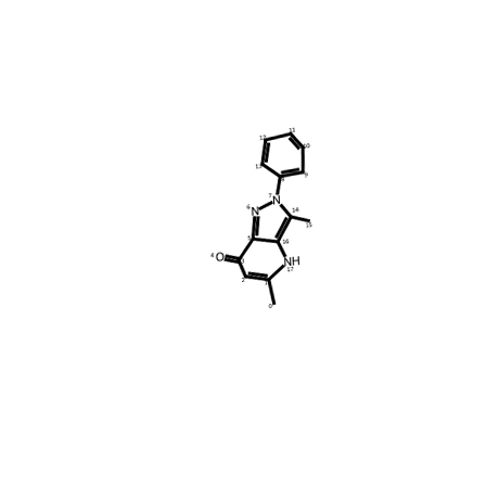 Cc1cc(=O)c2nn(-c3ccccc3)c(C)c2[nH]1